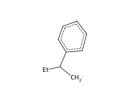 [CH2]C(CC)c1cc[c]cc1